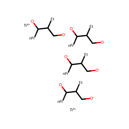 CCCC([O-])C(CC)C[O-].CCCC([O-])C(CC)C[O-].CCCC([O-])C(CC)C[O-].CCCC([O-])C(CC)C[O-].[Ti+4].[Ti+4]